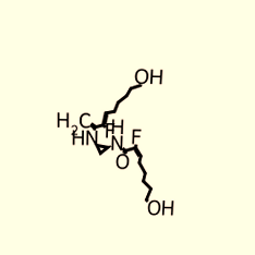 C=C(N[C@H]1C[C@H]1NC(=O)/C(F)=C\CCCCCO)/C(F)=C/CCCCCO